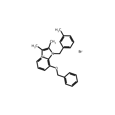 Cc1cccc(Cn2c(C)c(C)[n+]3cccc(OCc4ccccc4)c23)c1.[Br-]